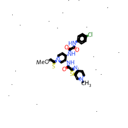 COCC(=S)N1CC[C@H](NC(=O)C(=O)Nc2ccc(Cl)cc2)[C@H](NC(=O)c2nc3c(s2)CN(C)CC3)C1